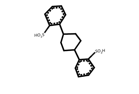 O=S(=O)(O)c1ccccc1C1CCC(c2ccccc2S(=O)(=O)O)CC1